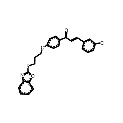 O=C(C=Cc1cccc(Cl)c1)c1ccc(OCCCSc2nc3ccccc3o2)cc1